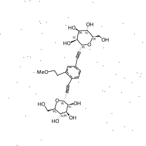 COCCc1cc(C#C[C@H]2O[C@H](CO)[C@@H](O)[C@H](O)[C@@H]2O)ccc1C#C[C@H]1O[C@H](CO)[C@@H](O)[C@H](O)[C@@H]1O